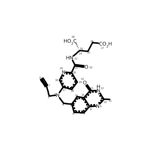 C#CCN(Cc1ccc2nc(C)[nH]c(=O)c2c1)c1ccc(C(=O)N[C@@H](CCC(=O)O)C(=O)O)nc1